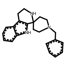 c1ccc(CN2CCC3(CC2)NCCc2c3[nH]c3ccccc23)cc1